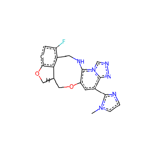 Cn1ccnc1-c1cc2c(n3cnnc13)NCc1c(F)ccc3c1[C@H](CO3)CO2